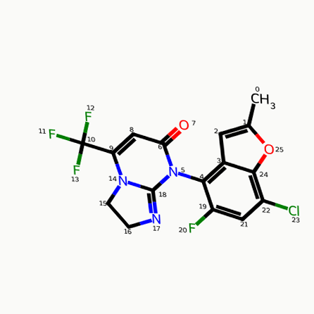 Cc1cc2c(N3C(=O)C=C(C(F)(F)F)N4CCN=C43)c(F)cc(Cl)c2o1